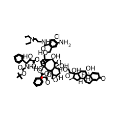 CC(=O)O[C@@]12CO[C@@H]1C[C@H](O)[C@@]1(C)C(=O)[C@H](O)C3=C(C)[C@@H](OC(=O)[C@H](O)[C@@H](NC(=O)OC(C)(C)C)c4ccccc4)C[C@@](O)([C@@H](OC(=O)c4ccccc4)[C@H]21)C3(C)C.CCN(CC)CCNC(=O)c1cc(Cl)c(N)cc1CO.C[C@@H]1C[C@H]2[C@@H]3CCC4=CC(=O)C=C[C@]4(C)[C@@]3(F)[C@@H](O)C[C@]2(C)[C@@]1(O)C(=O)CO